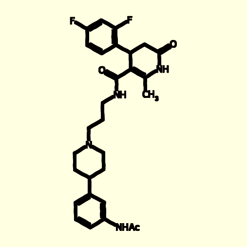 CC(=O)Nc1cccc(C2CCN(CCCNC(=O)C3=C(C)NC(=O)CC3c3ccc(F)cc3F)CC2)c1